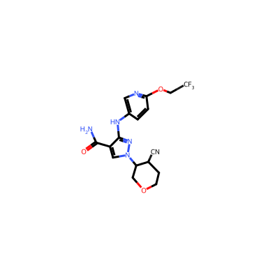 N#CC1CCOCC1n1cc(C(N)=O)c(Nc2ccc(OCC(F)(F)F)nc2)n1